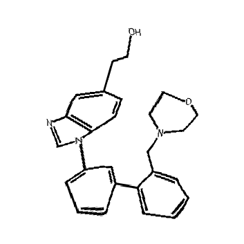 OCCc1ccc2c(c1)ncn2-c1cccc(-c2ccccc2CN2CCOCC2)c1